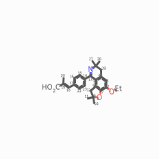 CCOc1cc2c(c3c1OC(C)(C)C3)C(c1ccc(C=C(C)C(=O)O)cc1)=NC(C)(C)C2